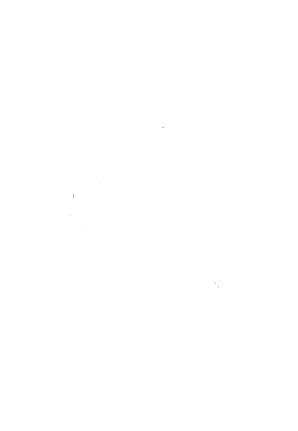 NS(=O)(=O)c1cnc(O[C@@H]2CCN(CC(CF)CF)C2)c(Cl)c1